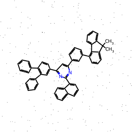 CC1(C)c2ccccc2-c2c(-c3cccc(-c4cc(-c5ccc(-c6ccccc6)c(-c6ccccc6)c5)nc(-c5cccc6ccccc56)n4)c3)cccc21